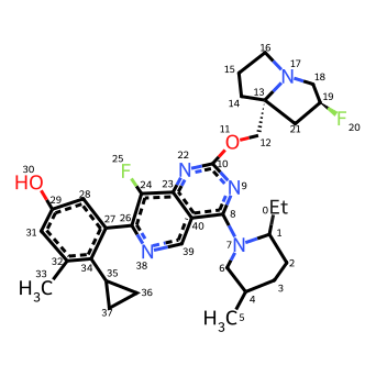 CCC1CCC(C)CN1c1nc(OC[C@]23CCCN2C[C@@H](F)C3)nc2c(F)c(-c3cc(O)cc(C)c3C3CC3)ncc12